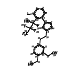 Cc1cccc(-c2csc(CCc3ccc(CO)c(CO)c3)c2)c1C(O)(F)C(F)(F)C(F)(F)F